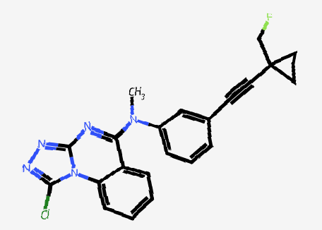 CN(c1cccc(C#CC2(CF)CC2)c1)c1nc2nnc(Cl)n2c2ccccc12